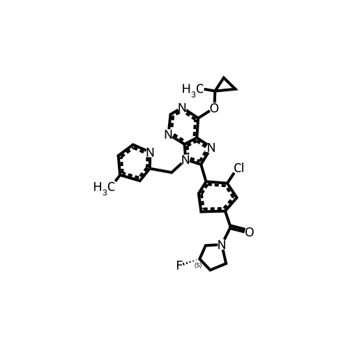 Cc1ccnc(Cn2c(-c3ccc(C(=O)N4CC[C@H](F)C4)cc3Cl)nc3c(OC4(C)CC4)ncnc32)c1